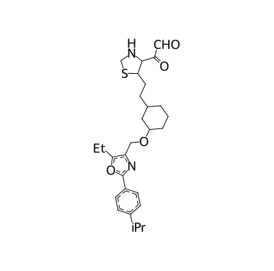 CCc1oc(-c2ccc(C(C)C)cc2)nc1COC1CCCC(CCC2SCNC2C(=O)C=O)C1